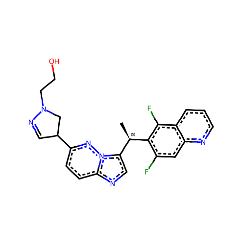 C[C@@H](c1c(F)cc2ncccc2c1F)c1cnc2ccc(C3C=NN(CCO)C3)nn12